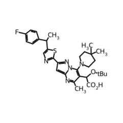 Cc1nc2cc(-c3ncc(C(C)c4ccc(F)cc4)s3)nn2c(N2CCC(C)(C)CC2)c1C(OC(C)(C)C)C(=O)O